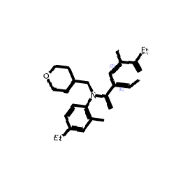 C=C(CC)/C(C)=C\C(=C/C)C(=C)N(CC1CCOCC1)c1ccc(CC)cc1C